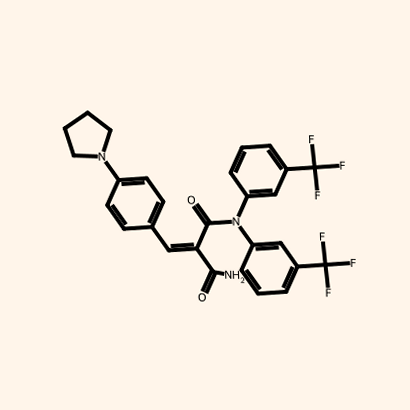 NC(=O)C(=Cc1ccc(N2CCCC2)cc1)C(=O)N(c1cccc(C(F)(F)F)c1)c1cccc(C(F)(F)F)c1